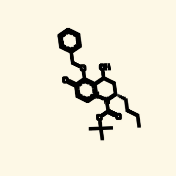 CCCC[C@H]1CC(O)c2c(OCc3ccccc3)c(=O)ccn2N1C(=O)OC(C)(C)C